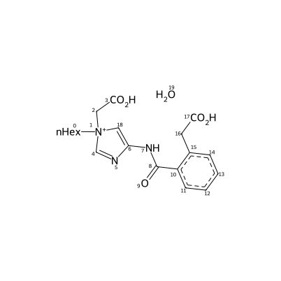 CCCCCC[N+]1(CC(=O)O)C=NC(NC(=O)c2ccccc2CC(=O)O)=C1.O